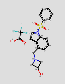 O=C(O)C(F)(F)F.O=S(=O)(c1ccccc1)n1ccc2c(CN3CC(O)C3)cccc21